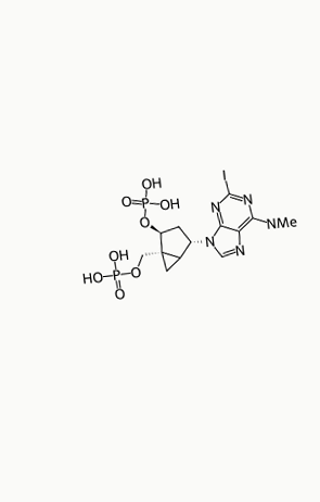 CNc1nc(I)nc2c1ncn2[C@H]1C[C@H](OP(=O)(O)O)[C@]2(COP(=O)(O)O)CC12